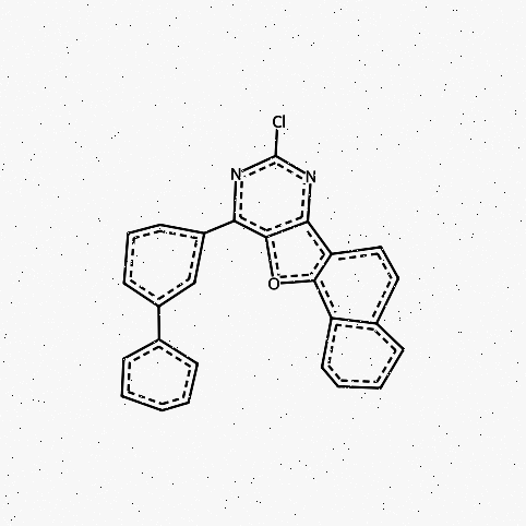 Clc1nc(-c2cccc(-c3ccccc3)c2)c2oc3c4ccccc4ccc3c2n1